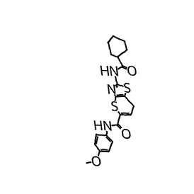 COc1ccc(NC(=O)C2=CCc3sc(NC(=O)C4CCCCC4)nc3S2)cc1